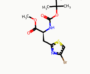 COC(=O)[C@H](Cc1nc(Br)cs1)NC(=O)OC(C)(C)C